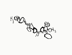 C[C@@H]1C(=O)N(C)c2ccc(Nc3ccc(C(=O)NCCN4CCN(C)CC4)cc3)nc2N1C1CCCCCC1